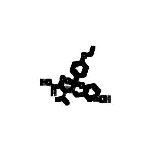 CCOc1ccc(S(=O)(=O)N(Cc2cccnc2)[C@@H](C(=O)NO)C(C)C)cc1.Cl